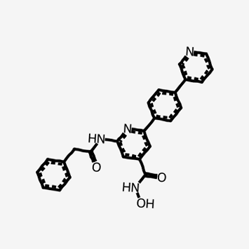 O=C(Cc1ccccc1)Nc1cc(C(=O)NO)cc(-c2ccc(-c3cccnc3)cc2)n1